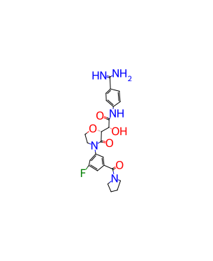 N=C(N)c1ccc(NC(=O)[C@H](O)[C@H]2OCCN(c3cc(F)cc(C(=O)N4CCCC4)c3)C2=O)cc1